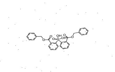 O=C(OCc1ccccc1)c1ccccc1S(=O)(O)(O)c1ccccc1C(=O)OCc1ccccc1